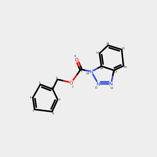 O=C(OCc1ccccc1)n1nnc2ccccc21